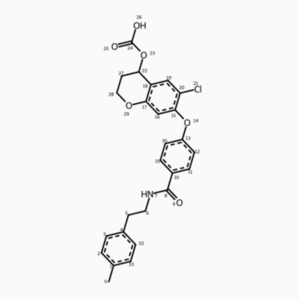 Cc1ccc(CCNC(=O)c2ccc(Oc3cc4c(cc3Cl)C(OC(=O)O)CCO4)cc2)cc1